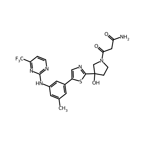 Cc1cc(Nc2nccc(C(F)(F)F)n2)cc(-c2cnc(C3(O)CCN(C(=O)CC(N)=O)C3)s2)c1